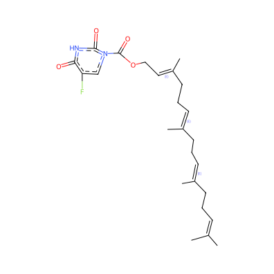 CC(C)=CCC/C(C)=C/CC/C(C)=C/CC/C(C)=C/COC(=O)n1cc(F)c(=O)[nH]c1=O